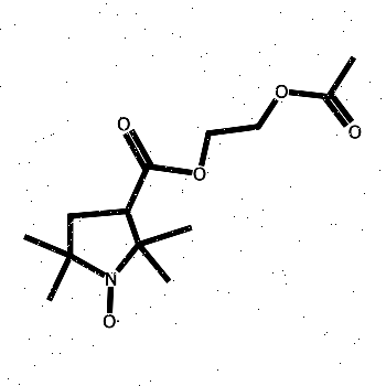 CC(=O)OCCOC(=O)C1CC(C)(C)N([O])C1(C)C